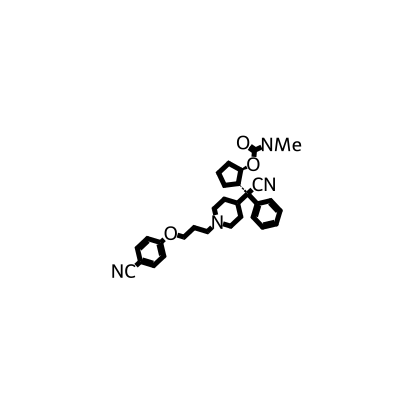 CNC(=O)O[C@@H]1CCC[C@H]1C(C#N)(c1ccccc1)C1CCN(CCCOc2ccc(C#N)cc2)CC1